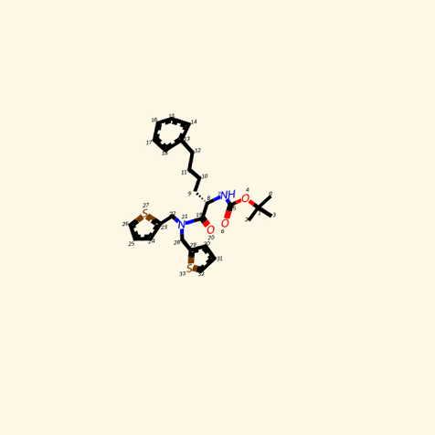 CC(C)(C)OC(=O)N[C@@H](CC[CH]Cc1ccccc1)C(=O)N(Cc1cccs1)Cc1cccs1